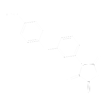 C=C1SC(=S)N(c2cccc(Oc3ccc(CCCCC)cc3)c2)C1=O